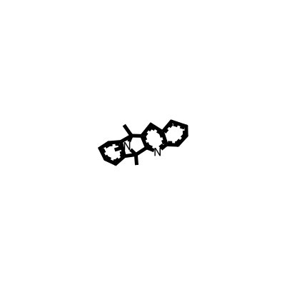 CN1C2(C)c3ccccc3C1(C)c1nc3ccccc3cc12